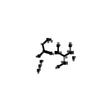 NCC(=O)[O-].[K+].[K+].[K+].[K+].[O-]NC(N[O-])N[O-]